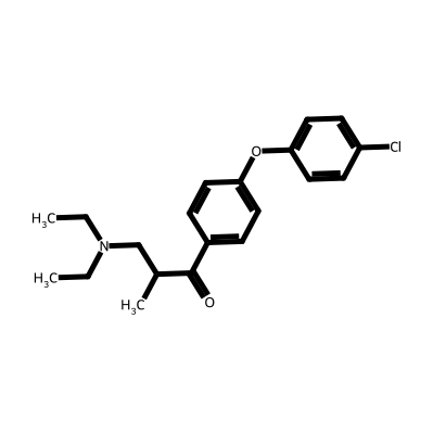 CCN(CC)CC(C)C(=O)c1ccc(Oc2ccc(Cl)cc2)cc1